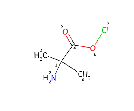 CC(C)(N)C(=O)OCl